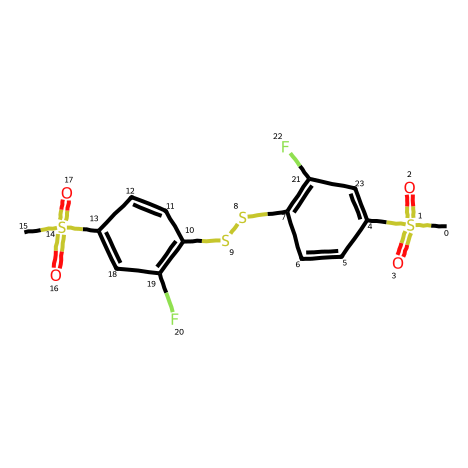 CS(=O)(=O)c1ccc(SSc2ccc(S(C)(=O)=O)cc2F)c(F)c1